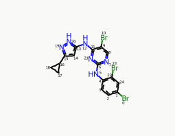 Brc1ccc(Nc2ncc(Br)c(Nc3cc(C4CC4)n[nH]3)n2)c(Br)c1